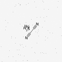 N#CC#N.S.[Hg]